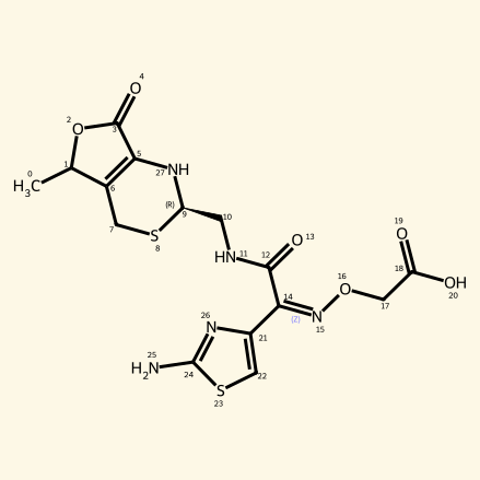 CC1OC(=O)C2=C1CS[C@H](CNC(=O)/C(=N\OCC(=O)O)c1csc(N)n1)N2